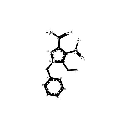 CCc1c([N+](=O)[O-])c(C(N)=O)nn1Cc1ccccc1